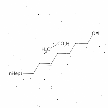 CC(=O)O.CCCCCCCC/C=C/CCCCO